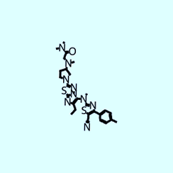 CCc1nc2sc(N3CCC(N(C)CC(=O)N(C)C)C3)nn2c1N(C)c1nc(-c2ccc(C)cc2)c(C#N)s1